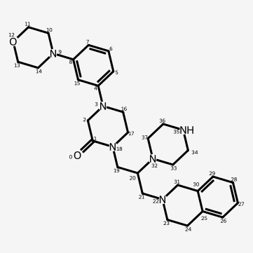 O=C1CN(c2cccc(N3CCOCC3)c2)CCN1CC(CN1CCc2ccccc2C1)N1CCNCC1